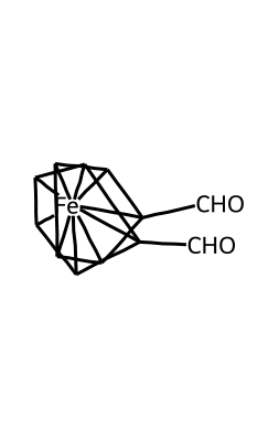 O=C[C]12[CH]3[CH]4[CH]5[CH]1[Fe]45321678[CH]2[CH]1[CH]6[C]7(C=O)[CH]28